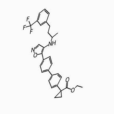 CCOC(=O)C1(c2ccc(-c3ccc(-c4oncc4NC(C)CCc4cccc(C(F)(F)F)c4)cc3)cc2)CC1